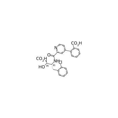 O=C(N[C@H](Cc1ccccc1Cl)[C@@H](O)C(=O)O)c1cc(-c2ccccc2C(=O)O)ccn1